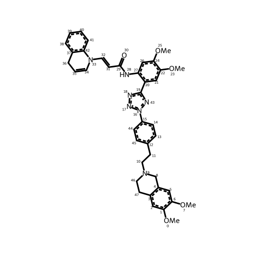 COc1cc2c(cc1OC)CN(CCc1ccc(-n3nnc(-c4cc(OC)c(OC)cc4NC(=O)C=CN4C=CCc5ccccc54)n3)cc1)CC2